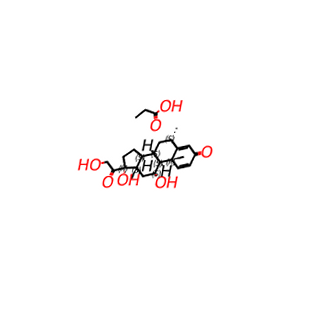 CCC(=O)O.C[C@H]1C[C@@H]2[C@H]([C@@H](O)C[C@@]3(C)[C@H]2CC[C@]3(O)C(=O)CO)[C@@]2(C)C=CC(=O)C=C12